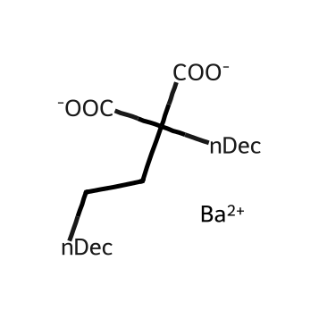 CCCCCCCCCCCCC(CCCCCCCCCC)(C(=O)[O-])C(=O)[O-].[Ba+2]